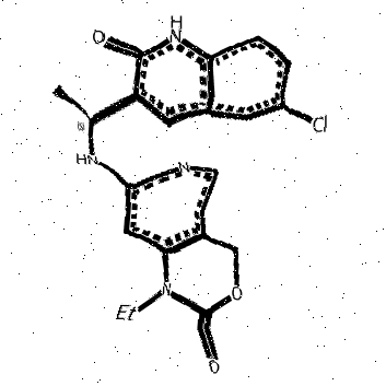 CCN1C(=O)OCc2cnc(N[C@@H](C)c3cc4cc(Cl)ccc4[nH]c3=O)cc21